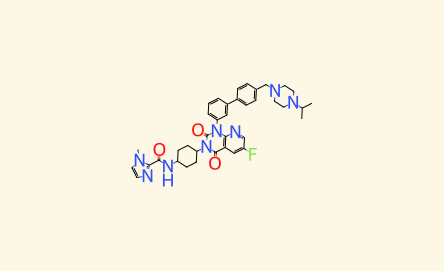 CC(C)N1CCN(Cc2ccc(-c3cccc(-n4c(=O)n(C5CCC(NC(=O)c6nccn6C)CC5)c(=O)c5cc(F)cnc54)c3)cc2)CC1